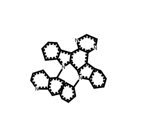 c1ccc(-n2c3ccccc3c3c4nccnc4c4c5ccccc5n(-c5cccc6ncccc56)c4c32)cc1